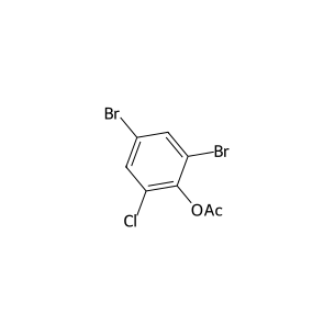 CC(=O)Oc1c(Cl)cc(Br)cc1Br